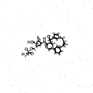 NS(=O)(=O)OC[C@H]1C[C@@H](Nc2ncncc2C(=O)c2ccn(CC3CC3c3ccccc3)c2)[C@@H](F)[C@@H]1O